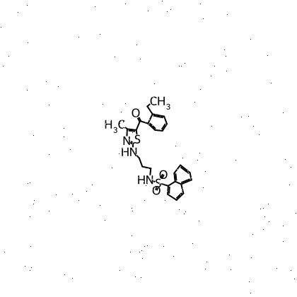 CCc1ccccc1C(=O)c1sc(NCCCNS(=O)(=O)c2cccc3ccccc23)nc1C